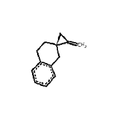 C=C1C[C@@]12CCc1ccccc1C2